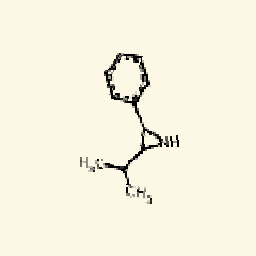 CC(C)C1NC1c1ccccc1